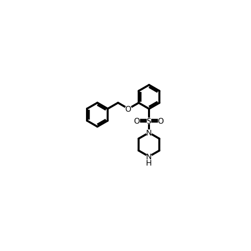 O=S(=O)(c1ccccc1OCc1ccccc1)N1CCNCC1